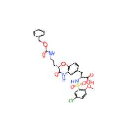 COc1ccc(Cl)cc1S(=O)(=O)N[C@@H](Cc1ccc2c(c1)NC(=O)[C@@H](CCCNC(=O)OCc1ccccc1)O2)C(=O)O